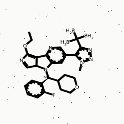 BC(B)(B)c1nnn(C)c1-c1cnc2c(c1)N([C@H](c1ccccc1F)C1CCOCC1)C1C=NC(OCC)=C21